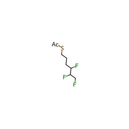 CC(=O)SCCCC(F)C(F)CF